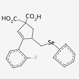 O=C(O)C1(C(=O)O)C=C(c2ccccc2F)C(C[Se]c2ccccc2)C1